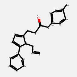 C=CCC1C(CCC(=O)Cc2ccc(C)cc2)=CC=C1c1ccccc1